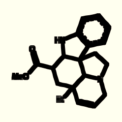 CCC12C=CCN3CCC4(c5ccccc5NC4C(C(=O)OC)C1)C32